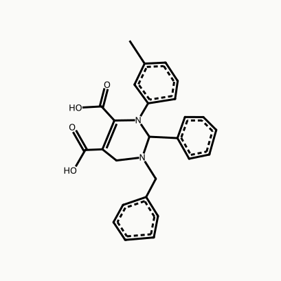 Cc1cccc(N2C(C(=O)O)=C(C(=O)O)CN(Cc3ccccc3)C2c2ccccc2)c1